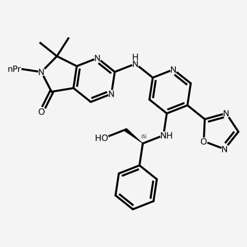 CCCN1C(=O)c2cnc(Nc3cc(N[C@H](CO)c4ccccc4)c(-c4ncno4)cn3)nc2C1(C)C